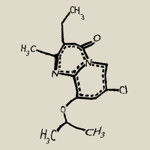 CCc1c(C)nc2c(OC(C)C)cc(Cl)cn2c1=O